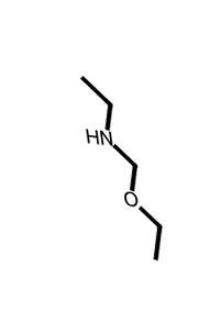 CCNCOCC